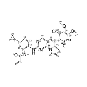 C=CC(=O)Nc1cc(C2CC2)ccc1Nc1ncc2cc(-c3c(Cl)cc(OC)c(OC)c3Cl)c3nccn3c2n1